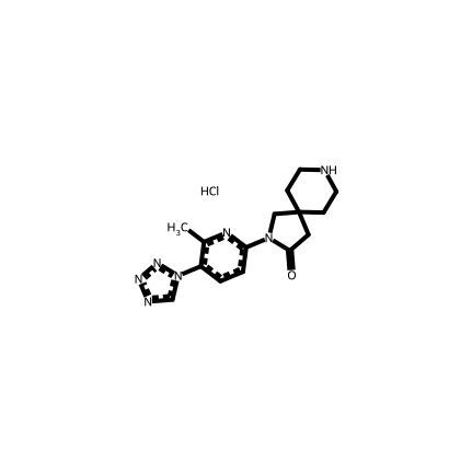 Cc1nc(N2CC3(CCNCC3)CC2=O)ccc1-n1cnnn1.Cl